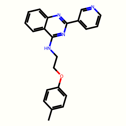 Cc1ccc(OCCNc2nc(-c3cccnc3)nc3ccccc23)cc1